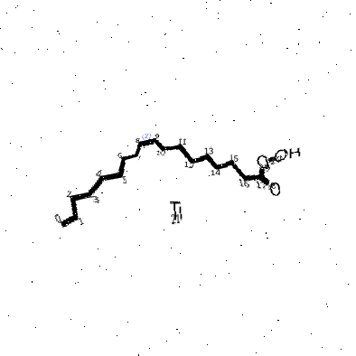 CCCCCCCC/C=C\CCCCCCCC(=O)OO.[Ti]